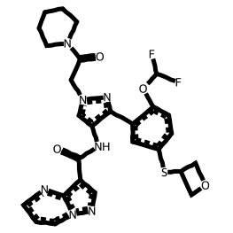 O=C(Nc1cn(CC(=O)N2CCCCC2)nc1-c1cc(SC2COC2)ccc1OC(F)F)c1cnn2cccnc12